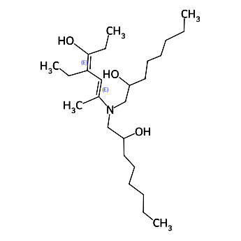 CCCCCCC(O)CN(CC(O)CCCCCC)/C(C)=C/C(CC)=C(/O)CC